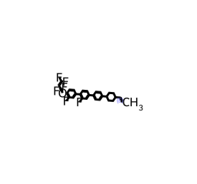 C/C=C/C1CCC(c2ccc(-c3ccc(-c4ccc(OC(F)(F)C=C(F)F)c(F)c4)c(F)c3)cc2)CC1